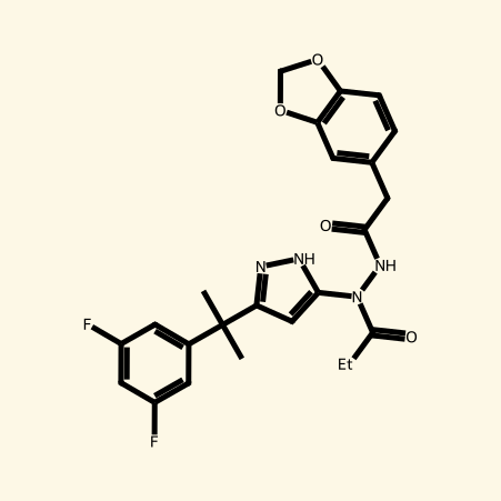 CCC(=O)N(NC(=O)Cc1ccc2c(c1)OCO2)c1cc(C(C)(C)c2cc(F)cc(F)c2)n[nH]1